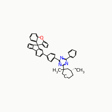 CC[C@@H]1CCCCC(C)(c2nc(-c3ccccc3)nc(-c3ccc(-c4ccc5c(c4)C4(c6ccccc6Oc6ccccc64)c4ccccc4-5)cc3)n2)C1